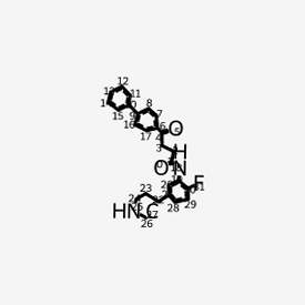 O=C(CCC(=O)c1ccc(-c2ccccc2)cc1)Nc1cc(C2CCNCC2)ccc1F